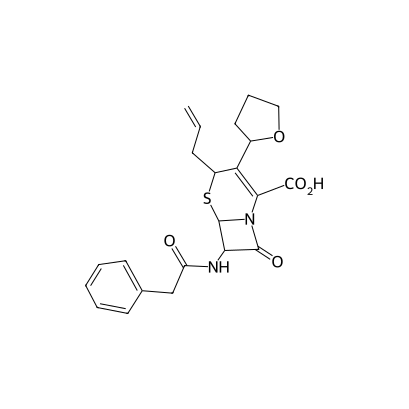 C=CCC1SC2C(NC(=O)Cc3ccccc3)C(=O)N2C(C(=O)O)=C1C1CCCO1